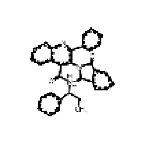 CCC(NC(=O)c1c(N2C(=O)c3ccccc3C2=O)c(-c2ccccc2)nc2ccccc12)c1ccccc1